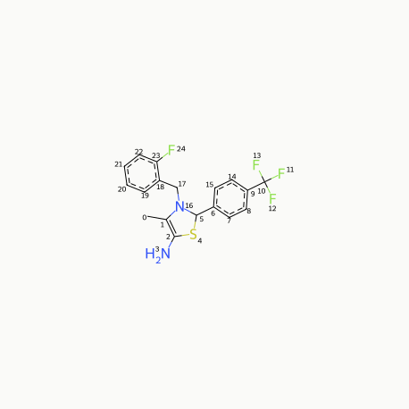 CC1=C(N)SC(c2ccc(C(F)(F)F)cc2)N1Cc1ccccc1F